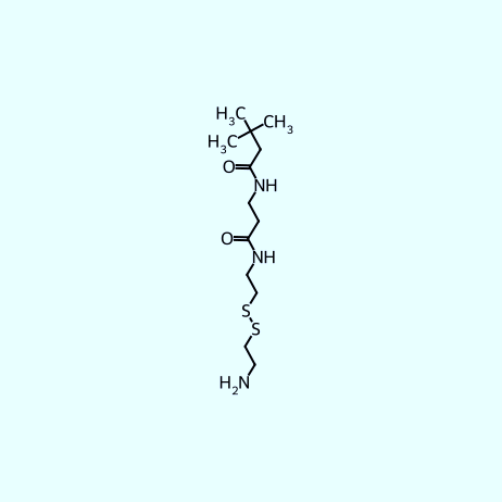 CC(C)(C)CC(=O)NCCC(=O)NCCSSCCN